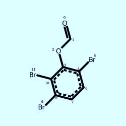 O=COc1c(Br)ccc(Br)c1Br